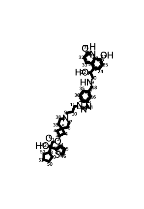 O=C(OC1CC2(CCN(CCCn3nnc4cc(CNCC(O)c5ccc(O)c6[nH]c(=O)ccc56)ccc43)CC2)C1)C(O)(c1cccs1)C1CCCC1